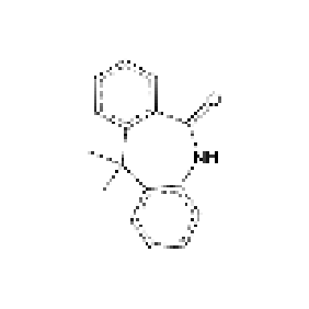 CC1(C)c2ccccc2NC(=O)c2ccccc21